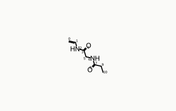 C=CNC(=O)CNC(=O)CC